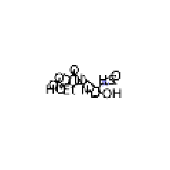 CC[C@@]1(O)C(=O)OCc2c1cc1n(c2=O)Cc2cc3c(/C=C/[SH](C)(C)=O)c(O)ccc3nc2-1